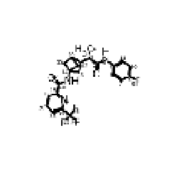 C[C@H](C(=O)Nc1ccc(F)cc1)C1CC2(NC(=O)c3cccc(C(F)(F)F)n3)CC1C2